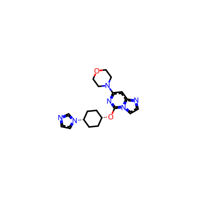 c1cn([C@H]2CC[C@@H](Oc3nc(N4CCOCC4)cc4nccn34)CC2)cn1